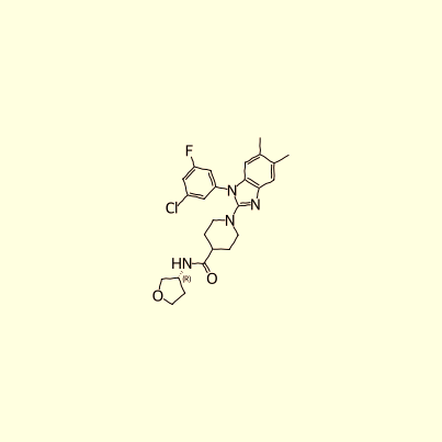 Cc1cc2nc(N3CCC(C(=O)N[C@@H]4CCOC4)CC3)n(-c3cc(F)cc(Cl)c3)c2cc1C